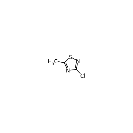 Cc1nc(Cl)ns1